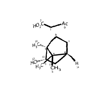 CC(=O)CC(=O)O.CC1(C)[C@@H]2CC[C@]1(C)[C@@H](O)C2